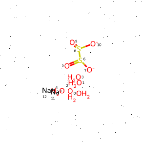 O.O.O.O.O.O=S([O-])S(=O)[O-].[Na+].[Na+]